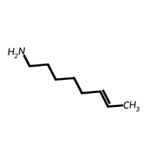 C/C=C/CCCCCN